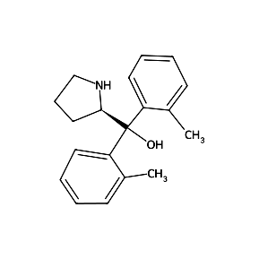 Cc1ccccc1C(O)(c1ccccc1C)[C@H]1CCCN1